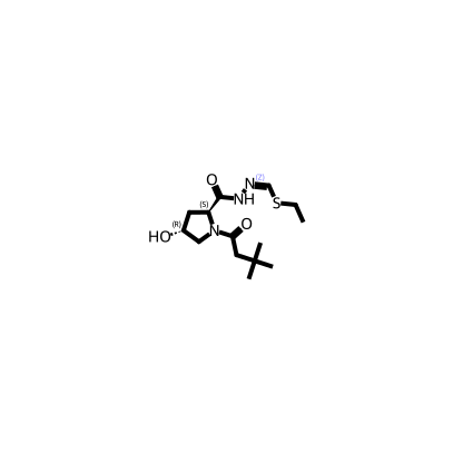 CCS/C=N\NC(=O)[C@@H]1C[C@@H](O)CN1C(=O)CC(C)(C)C